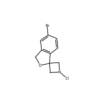 ClN1CC2(C1)OCc1cc(Br)ccc12